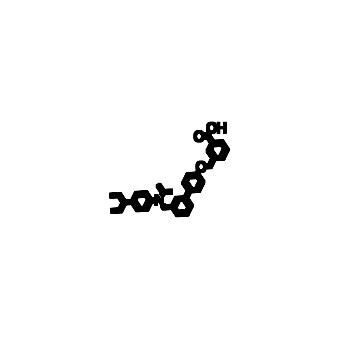 CCC(CC)c1ccc(N(Cc2cccc(-c3ccc(OCc4cccc(C(=O)O)c4)cc3)c2)C(C)C)cc1